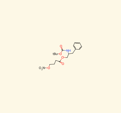 CC(C)(C)OC(=O)NC(COC(=O)CCCO[N+](=O)[O-])Cc1ccccc1